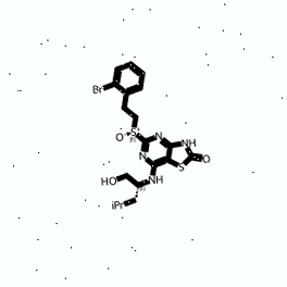 CC(C)C[C@H](CO)Nc1nc([S@@+]([O-])CCc2ccccc2Br)nc2[nH]c(=O)sc12